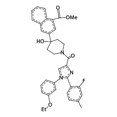 CCOc1cccc(-n2cc(C(=O)N3CCC(O)(c4cc(C(=O)OC)c5ccccc5c4)CC3)nc2-c2ccc(C)cc2F)c1